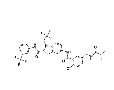 CC(C)C(=O)NCc1ccc(Cl)c(C(=O)Nc2ccc3c(c2)cc(C(=O)Nc2cccc(C(F)(F)F)c2)n3CC(F)(F)F)c1